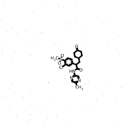 Cc1cnc(NC(=O)C(CC2CCC(=O)CC2)c2ccc(S(C)(=O)=O)c(Cl)c2)cn1